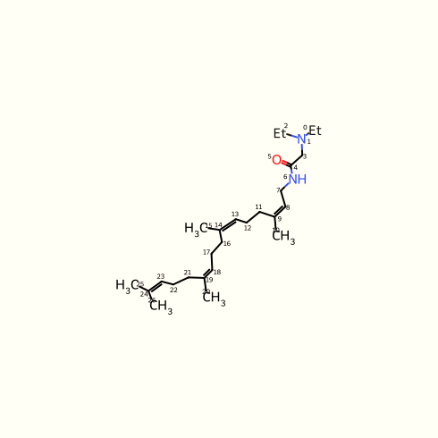 CCN(CC)CC(=O)NCC=C(C)CCC=C(C)CCC=C(C)CCC=C(C)C